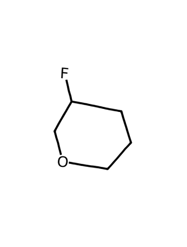 FC1CCCOC1